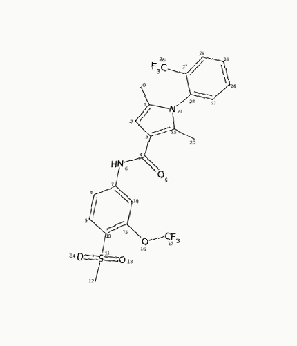 Cc1cc(C(=O)Nc2ccc(S(C)(=O)=O)c(OC(F)(F)F)c2)c(C)n1-c1ccccc1C(F)(F)F